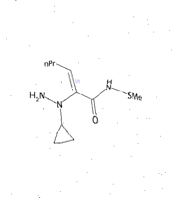 CCC/C=C(/C(=O)NSC)N(N)C1CC1